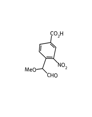 COC(C=O)c1ccc(C(=O)O)cc1[N+](=O)[O-]